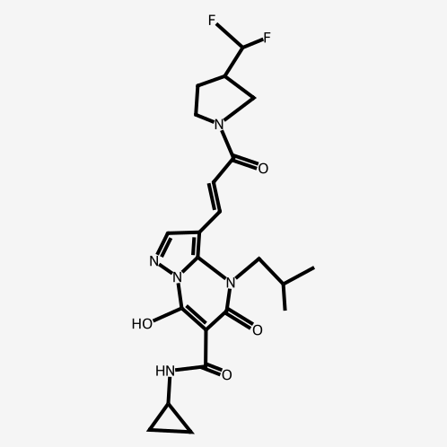 CC(C)Cn1c(=O)c(C(=O)NC2CC2)c(O)n2ncc(C=CC(=O)N3CCC(C(F)F)C3)c12